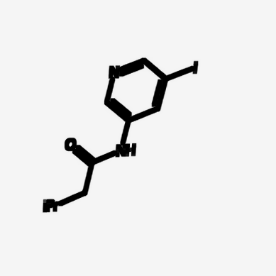 CC(C)CC(=O)Nc1cncc(I)c1